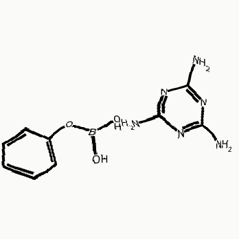 Nc1nc(N)nc(N)n1.OB(O)Oc1ccccc1